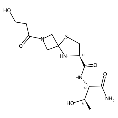 C[C@@H](O)[C@H](NC(=O)[C@@H]1CSC2(CN(C(=O)CCO)C2)N1)C(N)=O